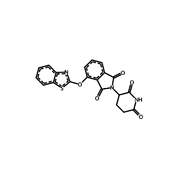 O=C1CCC(N2C(=O)c3cccc(Oc4nc5ccccc5s4)c3C2=O)C(=O)N1